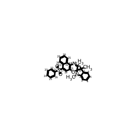 CN1c2ccccc2C(C)(C)C12C=Nc1c(cc(S(=O)(=O)c3ccccc3)c3ccccc13)O2